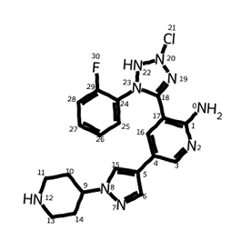 Nc1ncc(-c2cnn(C3CCNCC3)c2)cc1C1=NN(Cl)NN1c1ccccc1F